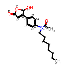 CCCCCCCCN(C(C)=O)c1ccc(C2=CC(=O)OC2O)cc1